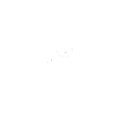 CCNC(=O)c1cccc(N2CC(c3ccc(OC)c(OC4CCCC4)c3)CC2=O)c1